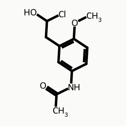 COc1ccc(NC(C)=O)cc1CC(O)Cl